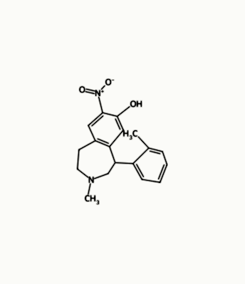 Cc1ccccc1C1CN(C)CCc2cc([N+](=O)[O-])c(O)cc21